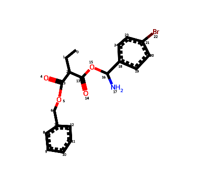 CCC(C(=O)OCc1ccccc1)C(=O)OC(N)c1ccc(Br)cc1